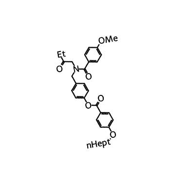 CCCCCCCOc1ccc(C(=O)Oc2ccc(CN(CC(=O)CC)C(=O)c3ccc(OC)cc3)cc2)cc1